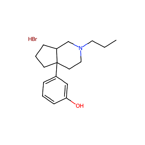 Br.CCCN1CCC2(c3cccc(O)c3)CCCC2C1